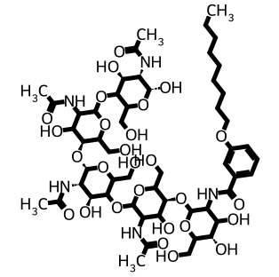 CCCCCCCCCOc1cccc(C(=O)NC2C(O[C@@H]3C(CO)OC(OC4C(CO)O[C@@H](O[C@@H]5C(CO)OC(OC6C(CO)O[C@@H](O)[C@@H](NC(C)=O)[C@@H]6O)C(NC(C)=O)C5O)[C@@H](NC(C)=O)[C@@H]4O)C(NC(C)=O)C3O)OC(CO)[C@@H](O)C2O)c1